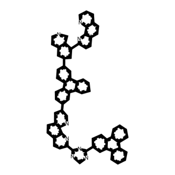 c1cnc2c(c1)ccc1ccc(-c3cc(-c4ccc5c6ccc(-c7cnc8c(ccc9ccc(-c%10ncnc(-c%11ccc%12c%13ccccc%13c%13ccccc%13c%12c%11)n%10)nc98)c7)cc6c6ccccc6c5c4)cc4ccncc34)nc12